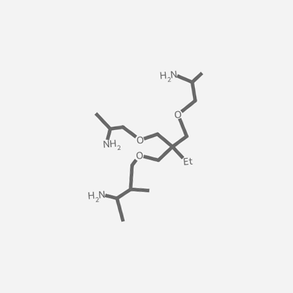 CCC(COCC(C)N)(COCC(C)N)COCC(C)C(C)N